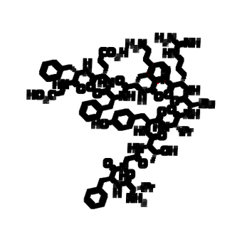 CC[C@H](C)[C@H](NC(=O)[C@@H](NC(=O)[C@H](Cc1ccc(O)cc1)NC(=O)[C@@H](NC(=O)CNC(=O)[C@H](Cc1ccccc1)NC(=O)[C@@H](N)C(C)C)[C@@H](C)O)C(C)C)C(=O)N[C@@H](CCCNC(=N)N)C(=O)N[C@@H](CCCCN)C(=O)N[C@@H](Cc1ccccc1)C(=O)N[C@@H](Cc1ccccc1)C(=O)N[C@@H](CCC(=O)O)C(=O)N[C@@H](Cc1ccccc1)C(=O)NCC(=O)O